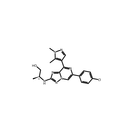 Cc1c(-c2nc(-c3ccc(Cl)cc3)cn3nc(N[C@@H](C)CO)nc23)cnn1C